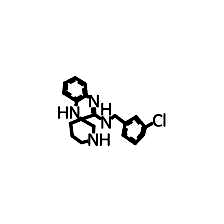 Clc1cccc(CNC2=Nc3ccccc3NC23CCCNC3)c1